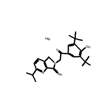 Br.CC(C)c1ccc2c(n1)C(=N)N(CC(=O)c1cc(C(C)(C)C)c(O)c(C(C)(C)C)c1)C2